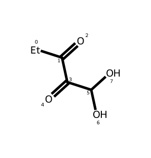 CCC(=O)C(=O)C(O)O